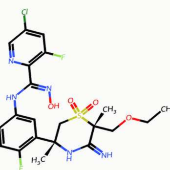 CCOC[C@]1(C)C(=N)N[C@](C)(c2cc(N/C(=N\O)c3ncc(Cl)cc3F)ccc2F)CS1(=O)=O